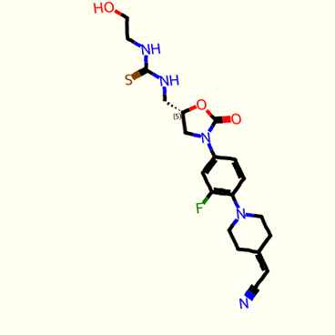 N#CC=C1CCN(c2ccc(N3C[C@H](CNC(=S)NCCO)OC3=O)cc2F)CC1